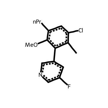 CCCc1cc(Cl)c(C)c(-c2cncc(F)c2)c1OC